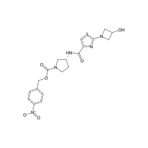 O=C(N[C@@H]1CCN(C(=O)OCc2ccc([N+](=O)[O-])cc2)C1)c1csc(N2CC(O)C2)n1